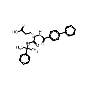 CC(C)(NC(=O)[C@H](CCC(=O)O)NC(=O)c1ccc(-c2ccccc2)cc1)c1ccccc1